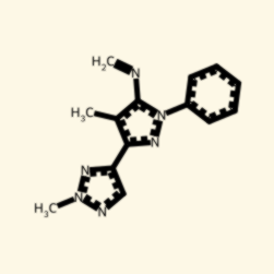 C=Nc1c(C)c(-c2cnn(C)n2)nn1-c1ccccc1